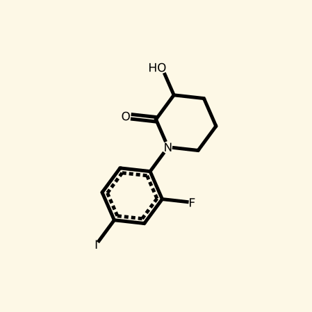 O=C1C(O)CCCN1c1ccc(I)cc1F